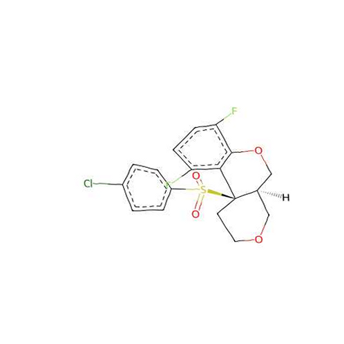 O=S(=O)(c1ccc(Cl)cc1)[C@]12CCOC[C@@H]1COc1c(F)ccc(F)c12